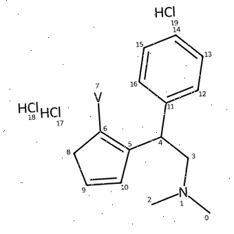 CN(C)CC(C1=[C]([V])CC=C1)c1ccccc1.Cl.Cl.Cl